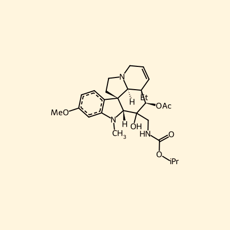 CC[C@]12C=CCN3CC[C@@]4(c5ccc(OC)cc5N(C)[C@H]4C(O)(CNC(=O)OC(C)C)[C@@H]1OC(C)=O)[C@@H]32